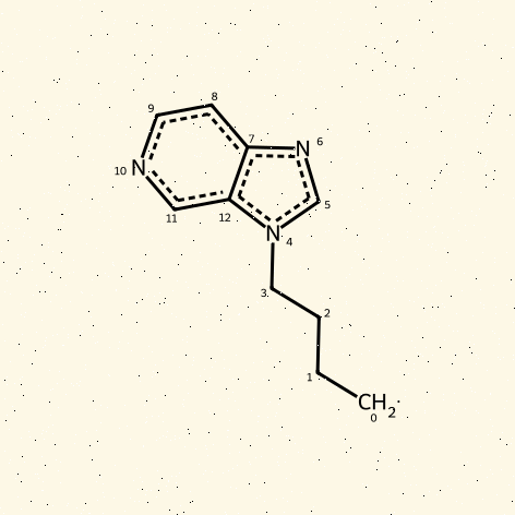 [CH2]CCCn1cnc2ccncc21